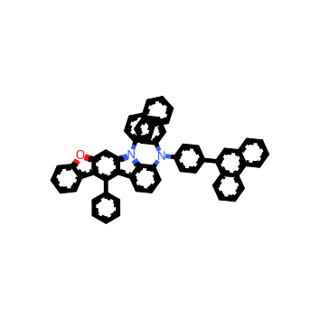 c1ccc(-c2c3c(cc4c2c2cccc(N(c5ccccc5)c5ccc(-c6cc7ccccc7c7ccccc67)cc5)c2n4-c2ccc4ccccc4c2)oc2ccccc23)cc1